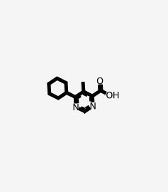 Cc1c(C(=O)O)n[c]nc1C1CCCCC1